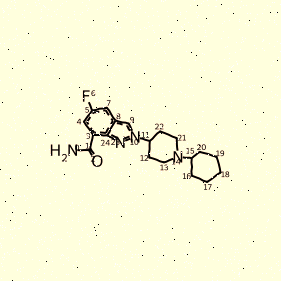 NC(=O)c1cc(F)cc2cn(C3CCN(C4CCCCC4)CC3)nc12